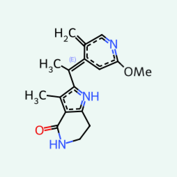 C=c1cnc(OC)c/c1=C(/C)c1[nH]c2c(c1C)C(=O)NCC2